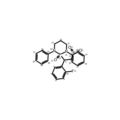 O=[N+]([O-])CC(c1ccccc1F)P1(=O)N(c2ccccc2)CCCN1c1ccccc1